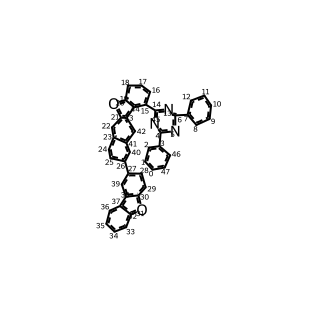 c1ccc(-c2nc(-c3ccccc3)nc(-c3cccc4oc5cc6ccc(-c7ccc8oc9ccccc9c8c7)cc6cc5c34)n2)cc1